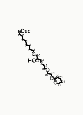 CCCCCCCCCCCCCCCCCCOCC(O)CSCCOCCOC1CCCCO1